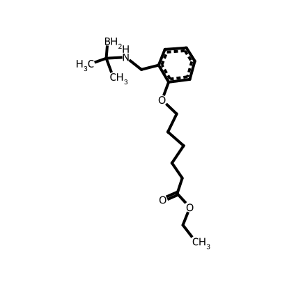 BC(C)(C)NCc1ccccc1OCCCCCC(=O)OCC